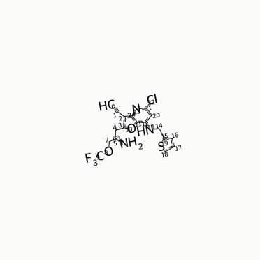 C#Cc1c(C[C@@H](N)COC(F)(F)F)oc2c(NCc3cccs3)cc(Cl)nc12